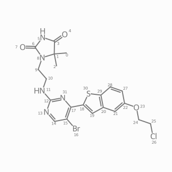 CC1(C)C(=O)NC(=O)N1CCNc1ncc(Br)c(-c2cc3cc(OCCCl)ccc3s2)n1